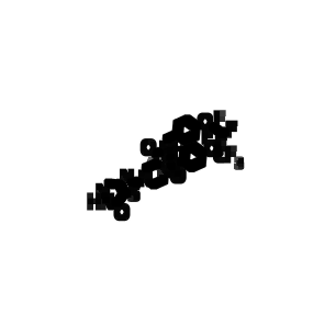 O=C(NCc1ccc(OC(F)(F)C(F)F)cc1)[C@H]1CN(c2nc3cn[nH]c(=O)c3s2)CCN1S(=O)(=O)c1ccc(OC(F)(F)F)cc1